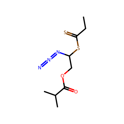 CCC(=S)SC(COC(=O)C(C)C)N=[N+]=[N-]